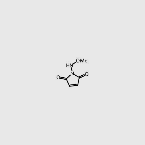 CONN1C(=O)C=CC1=O